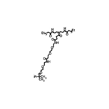 CCSCC(=O)NCCN(CCNC(=O)CSCC)C(=O)CCC(=O)NCCOCCOCCC(=O)NCCOCCOOC(C)(C)C(C)C